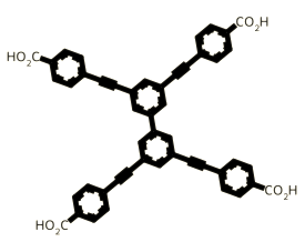 O=C(O)c1ccc(C#Cc2cc(C#Cc3ccc(C(=O)O)cc3)cc(-c3cc(C#Cc4ccc(C(=O)O)cc4)cc(C#Cc4ccc(C(=O)O)cc4)c3)c2)cc1